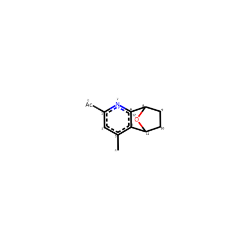 CC(=O)c1cc(C)c2c(n1)C1CCC2O1